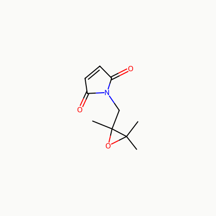 CC1(C)OC1(C)CN1C(=O)C=CC1=O